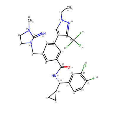 CCn1cc(-c2cc(CN3CCN(C)C3=N)cc(C(=O)N[C@H](c3ccc(F)c(Cl)c3)C3CC3)c2)c(C(F)(F)F)n1